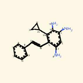 Nc1cc(N)c(C=Cc2ccccc2)c(C2CC2)c1N